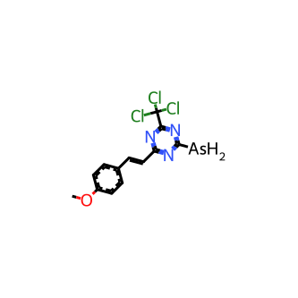 COc1ccc(/C=C/c2nc([AsH2])nc(C(Cl)(Cl)Cl)n2)cc1